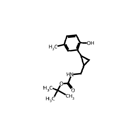 Cc1ccc(O)c(C2CC2CNC(=O)OC(C)(C)C)c1